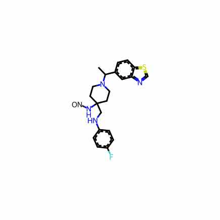 CC(c1ccc2scnc2c1)N1CCC(CNc2ccc(F)cc2)(NN=O)CC1